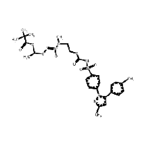 Cc1ccc(-c2cc(C)nn2-c2ccc(S(=O)(=O)NC(=O)OCCN(C)/[N+]([O-])=N/OC(C)OC(=O)C(C)(C)C)cc2)cc1